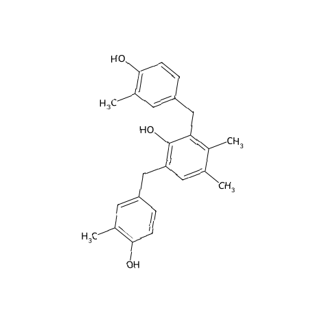 Cc1cc(Cc2cc(C)c(C)c(Cc3ccc(O)c(C)c3)c2O)ccc1O